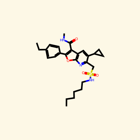 CCCCCCNS(=O)(=O)Cc1nc2oc(-c3ccc(CC)cc3)c(C(=O)NC)c2cc1C1CC1